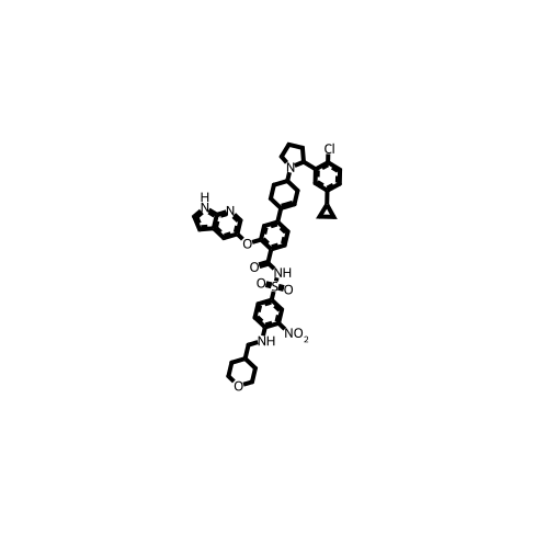 O=C(NS(=O)(=O)c1ccc(NCC2CCOCC2)c([N+](=O)[O-])c1)c1ccc(C2=CCC(N3CCCC3c3cc(C4CC4)ccc3Cl)CC2)cc1Oc1cnc2[nH]ccc2c1